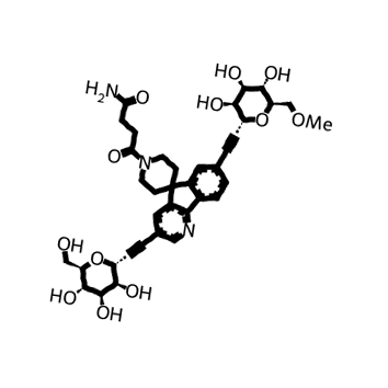 COC[C@H]1O[C@H](C#Cc2ccc3c(c2)C2(CCN(C(=O)CCC(N)=O)CC2)c2cc(C#C[C@H]4O[C@H](CO)[C@@H](O)[C@H](O)[C@@H]4O)cnc2-3)[C@@H](O)[C@@H](O)[C@@H]1O